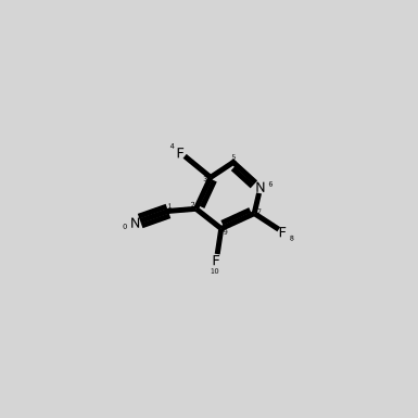 N#Cc1c(F)cnc(F)c1F